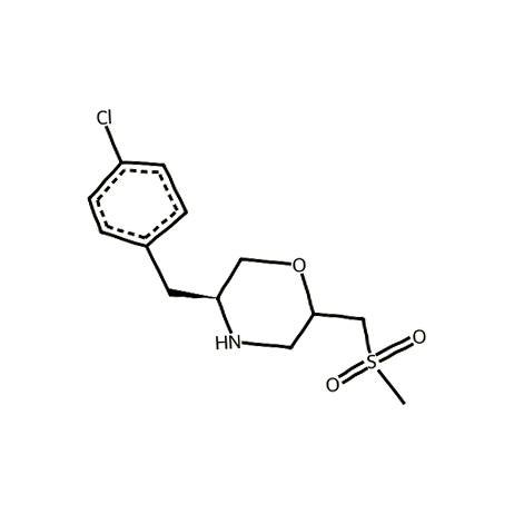 CS(=O)(=O)CC1CN[C@@H](Cc2ccc(Cl)cc2)CO1